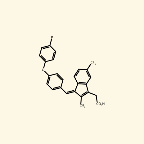 CC1=C(CC(=O)O)c2cc(C(F)(F)F)ccc2/C1=C\c1ccc(Oc2ccc(F)cc2)cc1